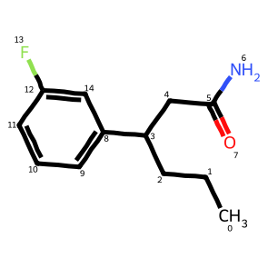 CCCC(CC(N)=O)c1cccc(F)c1